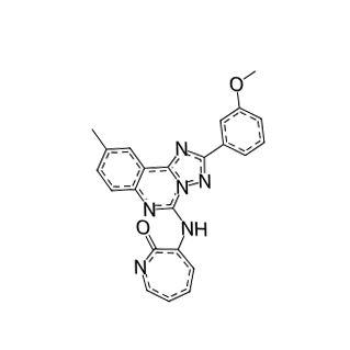 COc1cccc(-c2nc3c4cc(C)ccc4nc(Nc4ccccnc4=O)n3n2)c1